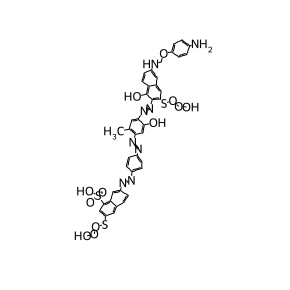 Cc1cc(N=Nc2c(SOOO)cc3cc(NCOc4ccc(N)cc4)ccc3c2O)c(O)cc1N=Nc1ccc(N=Nc2ccc3cc(SOOO)cc(S(=O)(=O)O)c3c2)cc1